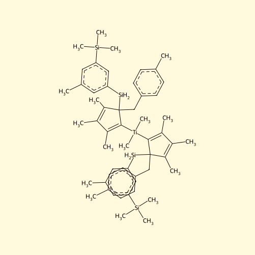 CC1=C(C)C(Cc2ccc(C)cc2)([SiH2]c2cc(C)cc([Si](C)(C)C)c2)[C]([Ti]([CH3])([CH3])[C]2=C(C)C(C)=C(C)C2(Cc2ccc(C)cc2)[SiH2]c2cc(C)cc([Si](C)(C)C)c2)=C1C